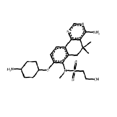 CN(c1c(OC2CCC(N)CC2)ccc2c1CC(C)(C)c1c(N)ncnc1-2)S(=O)(=O)CCC#N